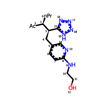 CCC[C@H](C(C)=O)[C@H](Cc1ccc(NCCO)nc1)c1nnn[nH]1